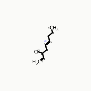 C=CC(Cl)C/C=C/CCC